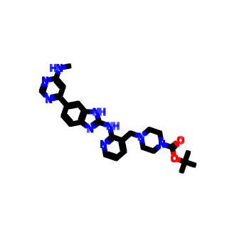 CNc1cc(-c2ccc3nc(Nc4ncccc4CN4CCN(C(=O)OC(C)(C)C)CC4)[nH]c3c2)ncn1